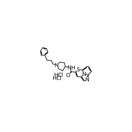 Cl.Cl.O=C(NC1CCN(CCCc2ccccc2)CC1)C1=Cc2cnc3cccc(n23)S1